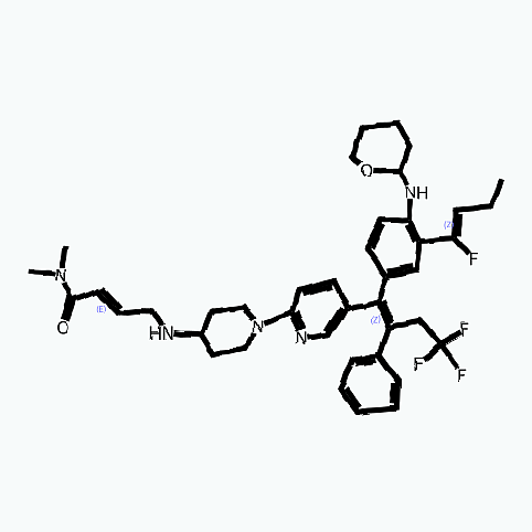 CC/C=C(\F)c1cc(/C(=C(\CC(F)(F)F)c2ccccc2)c2ccc(N3CCC(NC/C=C/C(=O)N(C)C)CC3)nc2)ccc1NC1CCCCO1